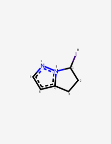 IC1CCc2ccnn21